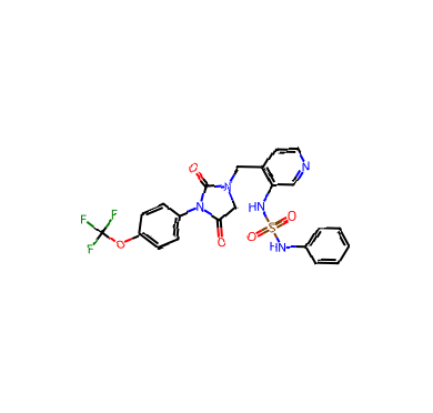 O=C1CN(Cc2ccncc2NS(=O)(=O)Nc2ccccc2)C(=O)N1c1ccc(OC(F)(F)F)cc1